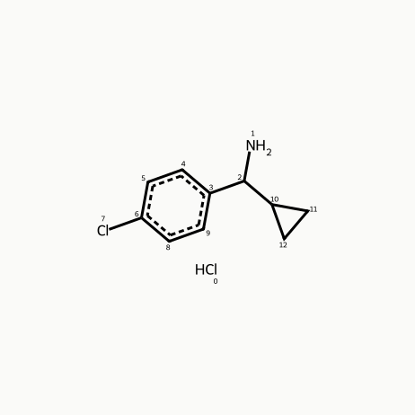 Cl.NC(c1ccc(Cl)cc1)C1CC1